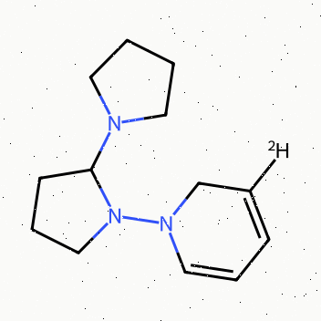 [2H]C1=CC=CN(N2CCCC2N2CCCC2)C1